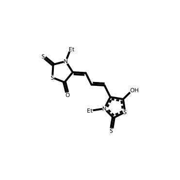 CCN1C(=S)SC(=O)/C1=C\C=Cc1c(O)sc(=S)n1CC